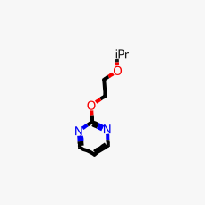 CC(C)OCCOc1ncccn1